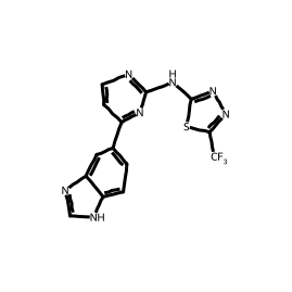 FC(F)(F)c1nnc(Nc2nccc(-c3ccc4[nH]cnc4c3)n2)s1